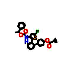 CC(OC(=O)Nc1cc(F)sc1-c1ccccc1-c1ccc(OC(=O)C2CC2)cc1)c1ccccc1